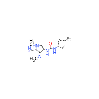 C=Nc1c(NC(=O)Nc2ccc(CC)cc2)c[nH]c1/C=N\C